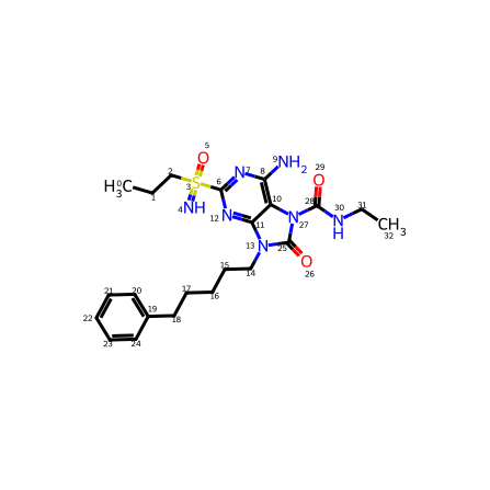 CCCS(=N)(=O)c1nc(N)c2c(n1)n(CCCCCc1ccccc1)c(=O)n2C(=O)NCC